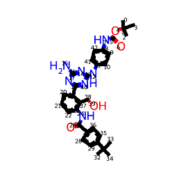 CC(C)(C)OC(=O)Nc1ccc(Nc2nc(N)nc(-c3cccc(NC(=O)c4ccc(C(C)(C)C)cc4)c3CO)n2)cc1